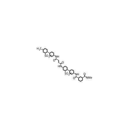 CNC(=O)c1cccc(C(=O)Nc2ccc(-c3ccc(NC(=O)/C=C/C(=O)Nc4ccc(-c5ccc(C)cc5S(=O)(=O)O)cc4)cc3S(=O)(=O)O)cc2)c1